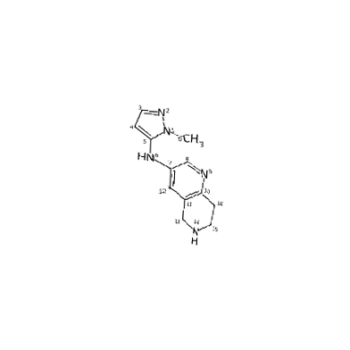 Cn1nccc1Nc1cnc2c(c1)CNCC2